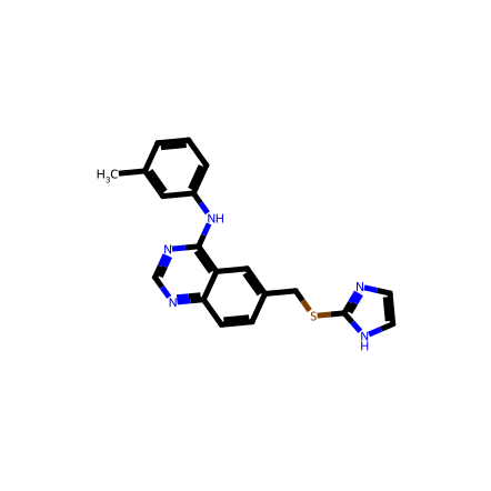 Cc1cccc(Nc2ncnc3ccc(CSc4ncc[nH]4)cc23)c1